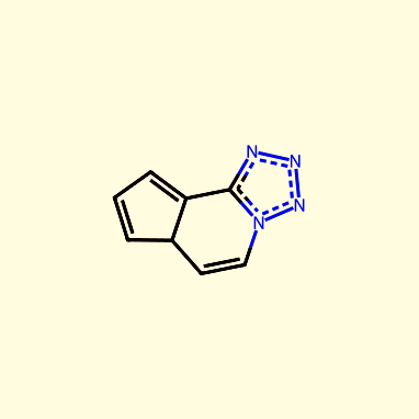 C1=CC2C=Cn3nnnc3C2=C1